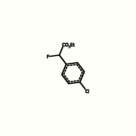 CCOC(=O)C(F)c1ccc(Cl)cc1